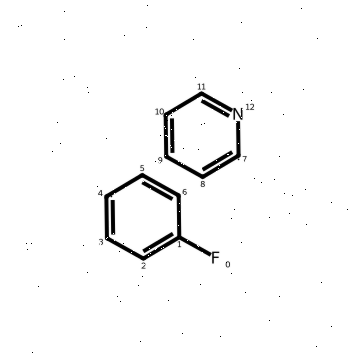 Fc1cc[c]cc1.[c]1ccccn1